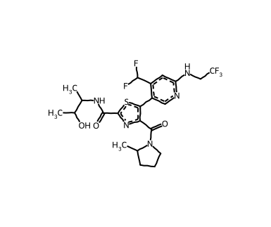 CC(O)C(C)NC(=O)c1nc(C(=O)N2CCCC2C)c(-c2cnc(NCC(F)(F)F)cc2C(F)F)s1